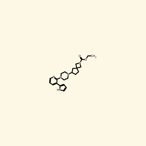 CCOC(=O)N1CC2(CCC(N3CCN(c4ncccc4-c4ccc[nH]4)CC3)C2)C1